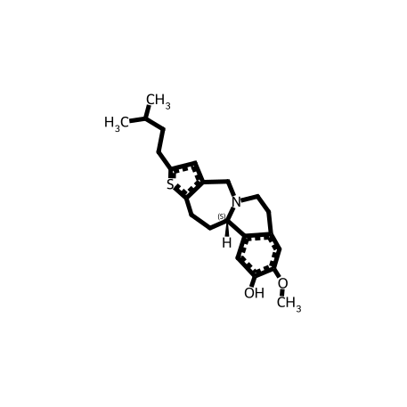 COc1cc2c(cc1O)[C@@H]1CCc3sc(CCC(C)C)cc3CN1CC2